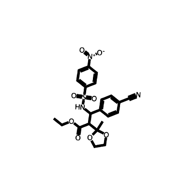 CCOC(=O)C(C(NS(=O)(=O)c1ccc([N+](=O)[O-])cc1)c1ccc(C#N)cc1)C1(C)OCCO1